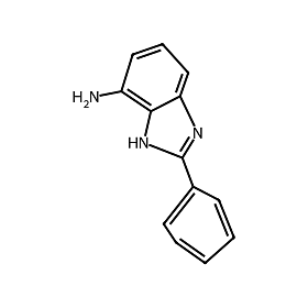 Nc1cccc2nc(-c3ccccc3)[nH]c12